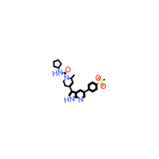 CC1C=C(c2c[nH]c3ncc(-c4ccc(S(C)(=O)=O)cc4)cc23)CCN1C(=O)NC1CCCC1